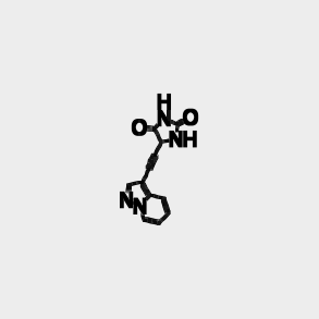 O=C1NC(=O)C(C#Cc2cnn3ccccc23)N1